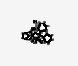 CN1C2CCC(C2)CC1(C)CC(C(N)=O)(c1ccccc1)c1ccccc1.I